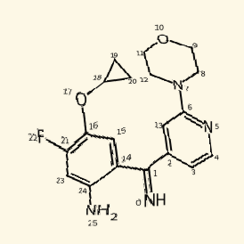 N=C(c1ccnc(N2CCOCC2)c1)c1cc(OC2CC2)c(F)cc1N